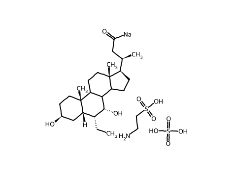 CC[C@H]1[C@@H](O)C2C3CC[C@H]([C@H](C)C[C](=O)[Na])[C@@]3(C)CCC2[C@@]2(C)CC[C@H](O)C[C@@H]12.NCCS(=O)(=O)O.O=S(=O)(O)O